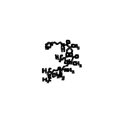 COC(C)(C)CCOC(C)(N)CCOC(C)C(=O)OCC(C)(COC(C)C)C(=O)NCCCn1ccnc1